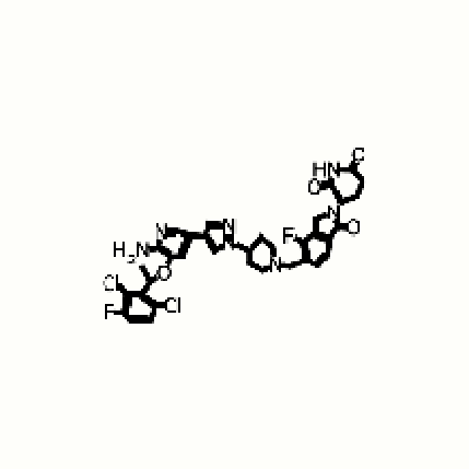 CC(Oc1cc(-c2cnn(C3CCN(Cc4ccc5c(c4F)CN(C4CCC(=O)NC4=O)C5=O)CC3)c2)cnc1N)c1c(Cl)ccc(F)c1Cl